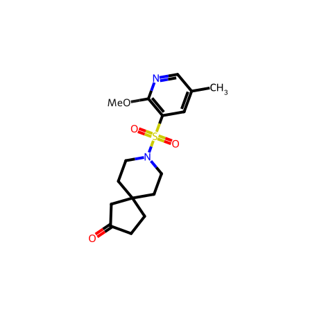 COc1ncc(C)cc1S(=O)(=O)N1CCC2(CCC(=O)C2)CC1